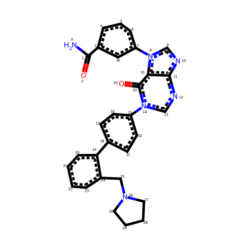 NC(=O)c1cccc(-n2cnc3ncn(-c4ccc(-c5ccccc5CN5CCCC5)cc4)c(=O)c32)c1